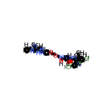 COc1cc(C(=O)NCCOCCO[C@H]2CC[C@H](Nc3nccc(-c4cnn(Cc5ccccc5)c4N(C)C)n3)CC2)ccc1NC(=O)[C@@H]1NC(CC(C)(C)C)[C@](C#N)(c2ccc(Cl)cc2F)C1c1cccc(Cl)c1F